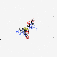 CCC(CC)(SSCC(N)C(=O)N=C=O)C(N)C(=O)N=C=O